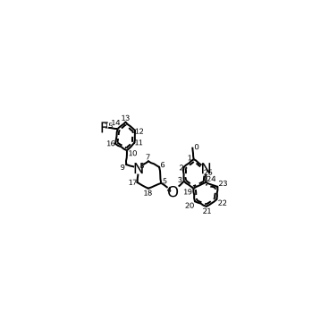 Cc1cc(OC2CCN(Cc3cccc(F)c3)CC2)c2ccccc2n1